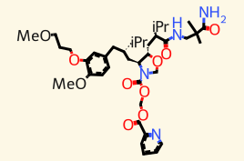 COCCCOc1cc(C[C@@H](C[C@H]2[C@H](C[C@H](C(=O)NCC(C)(C)C(N)=O)C(C)C)OCN2C(=O)OCOC(=O)c2ccccn2)C(C)C)ccc1OC